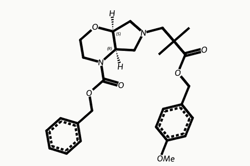 COc1ccc(COC(=O)C(C)(C)CN2C[C@@H]3OCCN(C(=O)OCc4ccccc4)[C@@H]3C2)cc1